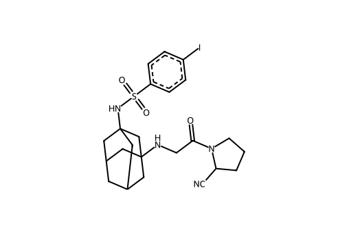 N#CC1CCCN1C(=O)CNC12CC3CC(C1)CC(NS(=O)(=O)c1ccc(I)cc1)(C3)C2